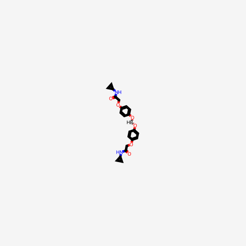 O=C(COc1ccc(OBOc2ccc(OCC(=O)NC3CC3)cc2)cc1)NC1CC1